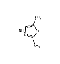 Cc1cnc(C)o1.N